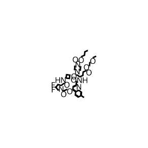 CCCCOC(=O)N1CCN(C(=O)C(CCC(=O)OCCOCC)NC(=O)c2cc(OCC(=O)N3CC(F)(F)CC3C(=O)NC3CCC3)c3ccc(C)cc3n2)CC1